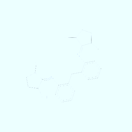 CC1CCC(C)C1=Nc1ccccc1Cc1ccccc1N=C1C(C)CCC1C